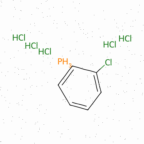 Cl.Cl.Cl.Cl.Cl.Clc1ccccc1.P